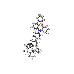 CC1(C)c2ccccc2C2(c3ccccc3-c3cc(-c4ccc(N(c5ccccc5)c5cccc6c5oc5ccccc56)cc4)ccc32)c2ccccc21